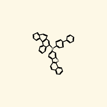 c1ccc(-c2ccc(N(c3ccc4c(c3)sc3c5ccccc5ccc43)c3cc4ccc5ccccc5c4c4ccccc34)cc2)cc1